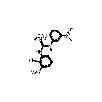 CC(=O)O.CSc1cccc(NC(=N)N(C)c2cccc([S@+](C)[O-])c2)c1Cl